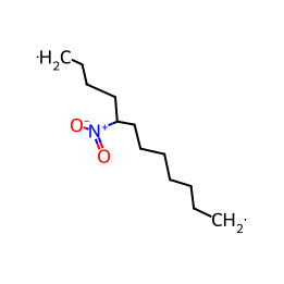 [CH2]CCCCCCC(CCC[CH2])[N+](=O)[O-]